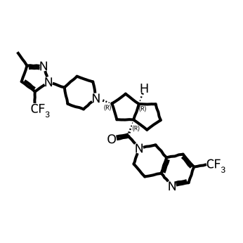 Cc1cc(C(F)(F)F)n(C2CCN([C@@H]3C[C@H]4CCC[C@@]4(C(=O)N4CCc5ncc(C(F)(F)F)cc5C4)C3)CC2)n1